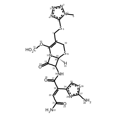 Cn1nnnc1SCC1=C(OC(=O)O)N2C(=O)C(NC(=O)C(=CC(N)=O)c3csc(N)n3)[C@@H]2SC1